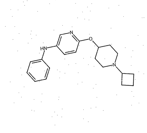 c1ccc(Nc2ccc(OC3CCN(C4CCC4)CC3)nc2)cc1